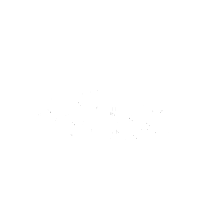 C=CC(=O)Nc1cc(Nc2ncnc(N3CCCCC3C)n2)c(OC)cc1N(C)CCN(C)C